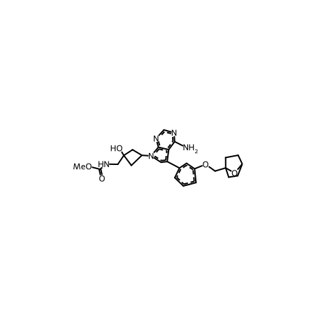 COC(=O)NCC1(O)CC(n2cc(-c3cccc(OCC45CCC(CC4)O5)c3)c3c(N)ncnc32)C1